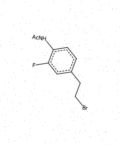 CC(=O)Nc1ccc(CCBr)cc1F